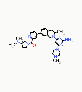 CC1Cc2ccc(-c3ccnc(C(=O)N4CCC(N(C)C)C4)c3)cc2CN1c1cc(N2CCN(C)CC2)nc(N)n1